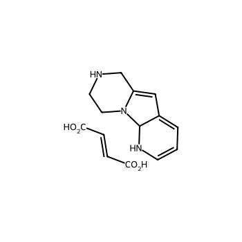 C1=CNC2C(=C1)C=C1CNCCN12.O=C(O)C=CC(=O)O